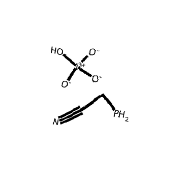 N#CCP.[O-][I+3]([O-])([O-])O